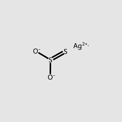 [Ag+2].[O-]S([O-])=S